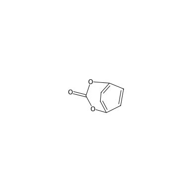 O=C1Oc2ccc(cc2)O1